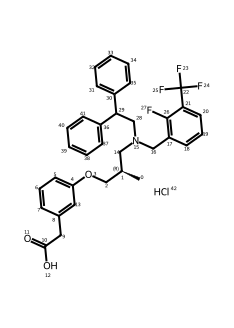 C[C@@H](COc1cccc(CC(=O)O)c1)CN(Cc1cccc(C(F)(F)F)c1F)CC(c1ccccc1)c1ccccc1.Cl